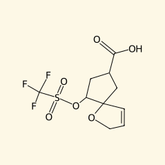 O=C(O)C1CC(OS(=O)(=O)C(F)(F)F)C2(C=CCO2)C1